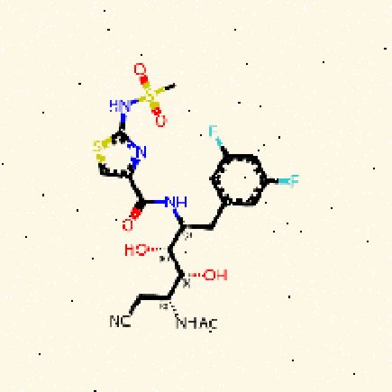 CC(=O)N[C@H](CC#N)[C@@H](O)[C@H](O)[C@H](Cc1cc(F)cc(F)c1)NC(=O)c1csc(NS(C)(=O)=O)n1